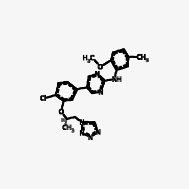 COc1ccc(C)cc1Nc1ncc(-c2ccc(Cl)c(O[C@@H](C)Cn3cnnn3)c2)cn1